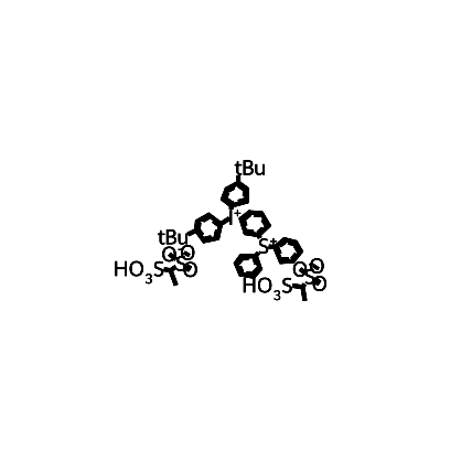 CC(C)(C)c1ccc([I+]c2ccc(C(C)(C)C)cc2)cc1.CC(S(=O)(=O)[O-])S(=O)(=O)O.CC(S(=O)(=O)[O-])S(=O)(=O)O.c1ccc([S+](c2ccccc2)c2ccccc2)cc1